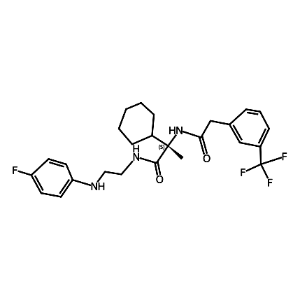 C[C@@](NC(=O)Cc1cccc(C(F)(F)F)c1)(C(=O)NCCNc1ccc(F)cc1)C1CCCCC1